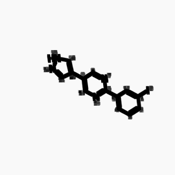 Ic1cccc(-c2ncc(-c3cn[nH]c3)cn2)c1